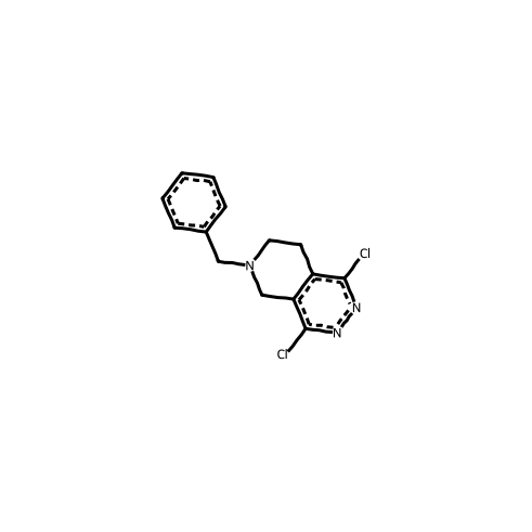 Clc1nnc(Cl)c2c1CCN(Cc1ccccc1)C2